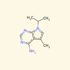 Cc1cn(C(C)C)c2ncnc(N)c12